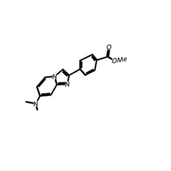 COC(=O)c1ccc(-c2cn3ccc(N(C)C)cc3n2)cc1